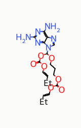 CCC=COC(=O)OCCCOC(OC(=O)OC=CCC)n1cnc2c(N)nc(N)nc21